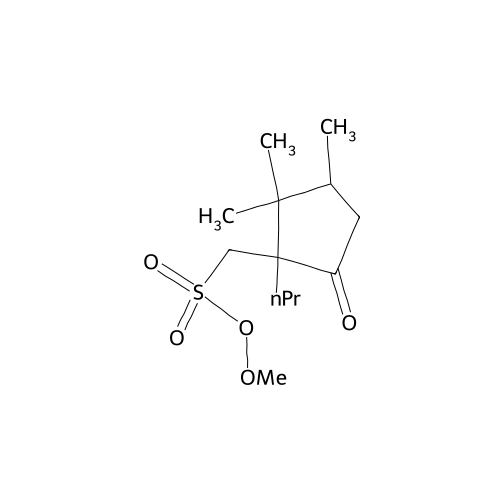 CCCC1(CS(=O)(=O)OOC)C(=O)CC(C)C1(C)C